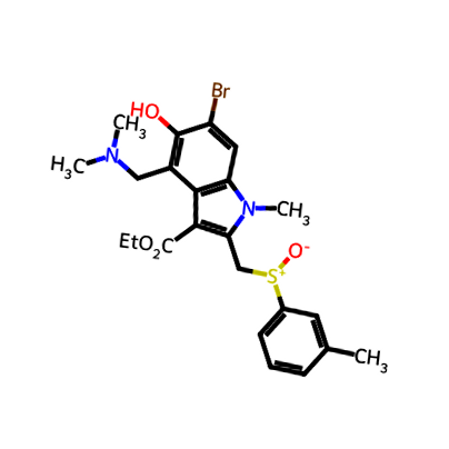 CCOC(=O)c1c(C[S+]([O-])c2cccc(C)c2)n(C)c2cc(Br)c(O)c(CN(C)C)c12